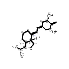 C=C1[C@H](O)CC(=C/C=C2\CCC[C@]3(C)[C@@H]([C@H](CC)CCC)CC[C@@H]23)C[C@H]1O